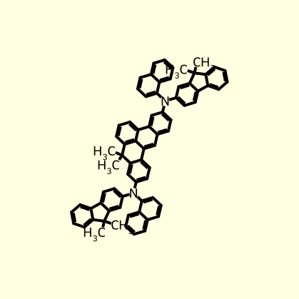 CC1(C)c2ccccc2-c2ccc(N(c3ccc4c(c3)C(C)(C)c3cccc5c3c-4cc3ccc(N(c4ccc6c(c4)C(C)(C)c4ccccc4-6)c4cccc6ccccc46)cc35)c3cccc4ccccc34)cc21